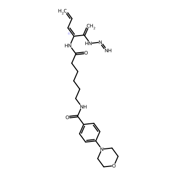 C=C/C=C(/NC(=O)CCCCCNC(=O)c1ccc(N2CCOCC2)cc1)C(=C)NN=N